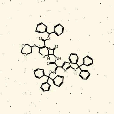 O=C(OC(c1ccccc1)c1ccccc1)C1=C(SC2COCOC2)CS[C@H]2C(NC(=O)/C(=N\OC(c3ccccc3)(c3ccccc3)c3ccccc3)c3csc(NC(c4ccccc4)(c4ccccc4)c4ccccc4)n3)C(=O)N12